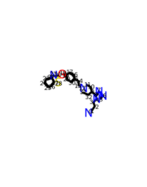 N#CCCn1cnnc1C1CCN(CCc2ccc(Oc3nc4ccccc4s3)cc2)CC1